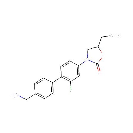 CC(=O)NCC1CN(c2ccc(-c3ccc(CN)cc3)c(F)c2)C(=O)O1